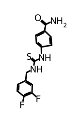 NC(=O)c1ccc(NC(=S)NCc2ccc(F)c(F)c2)cc1